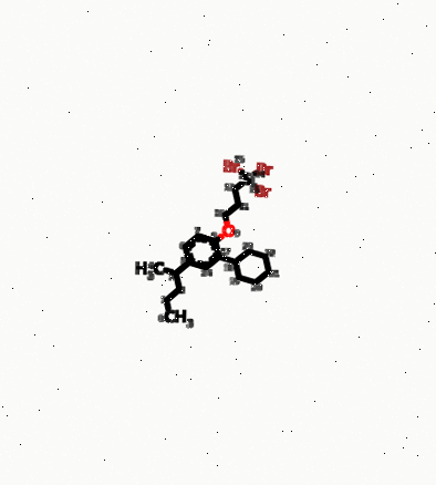 CCCC(C)c1ccc(OCCC[Si](Br)(Br)Br)c(C2CCCCC2)c1